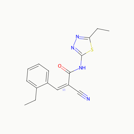 CCc1nnc(NC(=O)/C(C#N)=C\c2ccccc2CC)s1